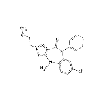 COCCn1cc2c(n1)N(C)c1ccc(Cl)cc1N(C1=CCCC=C1)C2=O